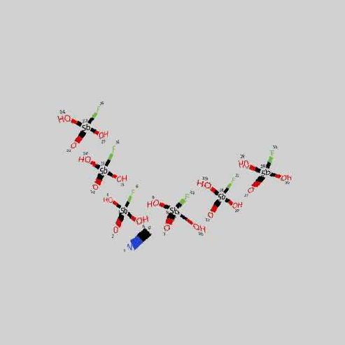 C#N.[O]=[Sb]([OH])([OH])[F].[O]=[Sb]([OH])([OH])[F].[O]=[Sb]([OH])([OH])[F].[O]=[Sb]([OH])([OH])[F].[O]=[Sb]([OH])([OH])[F].[O]=[Sb]([OH])([OH])[F]